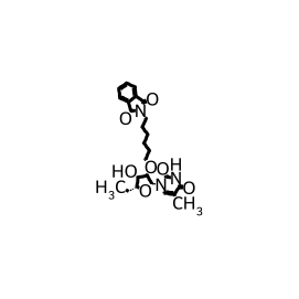 CC[C@H]1O[C@@H](n2cc(C)c(=O)[nH]c2=O)C(OCCCCCCN2C(=O)c3ccccc3C2=O)[C@H]1O